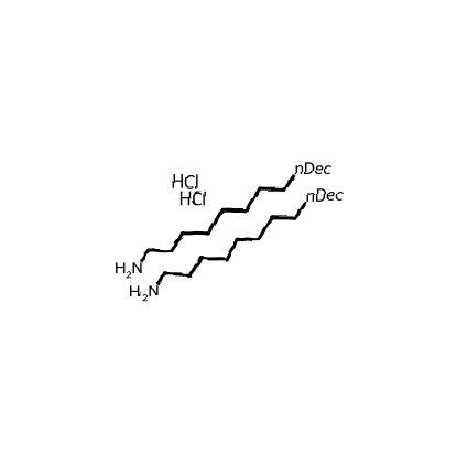 CCCCCCCCCCCCCCCCCCN.CCCCCCCCCCCCCCCCCCN.Cl.Cl